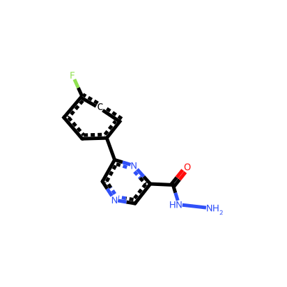 NNC(=O)c1cncc(-c2ccc(F)cc2)n1